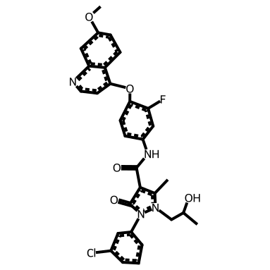 COc1ccc2c(Oc3ccc(NC(=O)c4c(C)n(CC(C)O)n(-c5cccc(Cl)c5)c4=O)cc3F)ccnc2c1